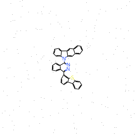 c1ccc2cc3c(cc2c1)c1ccccc1n3-c1nnc(-c2cccc3c2sc2ccccc23)c2ccccc12